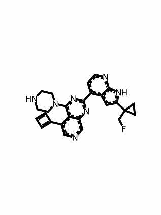 FCC1(c2cc3c(-c4nc(N5CCNCC5)c5c(C6=CC=C6)cncc5n4)ccnc3[nH]2)CC1